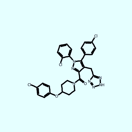 O=C(c1nn(-c2ccccc2Cl)c(-c2ccc(Cl)cc2)c1Cc1nn[nH]n1)N1CCC(Oc2ccc(Cl)cc2)CC1